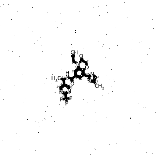 C#CCN1C(=O)COc2c(-c3ncc(C)s3)cc(C(=O)NC(C)c3cnc(C(F)(F)F)nc3)cc21